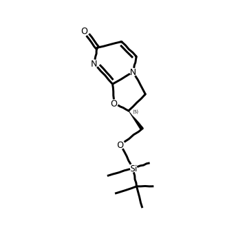 CC(C)(C)[Si](C)(C)OC[C@@H]1Cn2ccc(=O)nc2O1